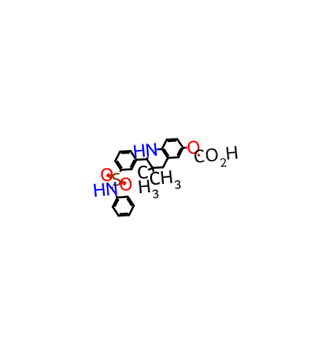 CC1(C)Cc2cc(OC(=O)O)ccc2NC1c1cccc(S(=O)(=O)Nc2ccccc2)c1